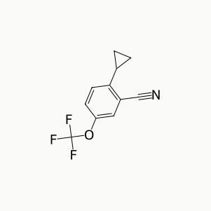 N#Cc1cc(OC(F)(F)F)ccc1C1CC1